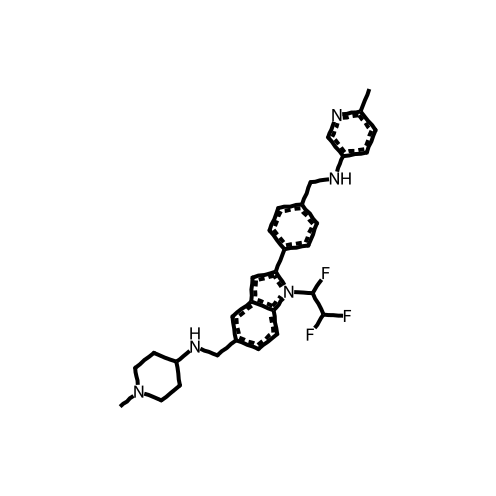 Cc1ccc(NCc2ccc(-c3cc4cc(CNC5CCN(C)CC5)ccc4n3C(F)C(F)F)cc2)cn1